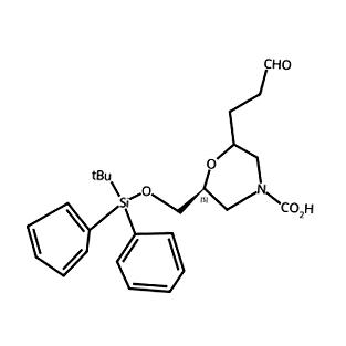 CC(C)(C)[Si](OC[C@@H]1CN(C(=O)O)CC(CCC=O)O1)(c1ccccc1)c1ccccc1